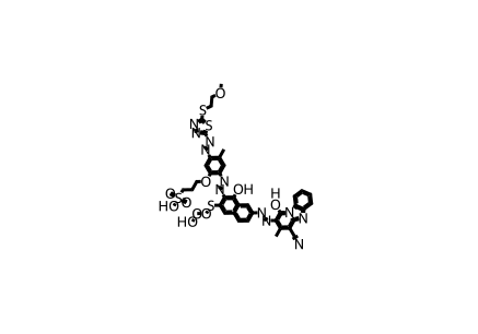 COCCSc1nnc(N=Nc2cc(OCCCS(=O)(=O)O)c(N=Nc3c(SOOO)cc4ccc(N=Nc5c(C)c(C#N)c6nc7ccccc7n6c5O)cc4c3O)cc2C)s1